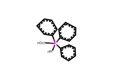 CCCCCCCCP(CCC)(c1ccccc1)(c1ccccc1)c1ccccc1